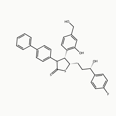 OCc1ccc([C@@H]2[C@H](CC[C@H](O)c3ccc(F)cc3)SC(=S)N2c2ccc(-c3ccccc3)cc2)c(O)c1